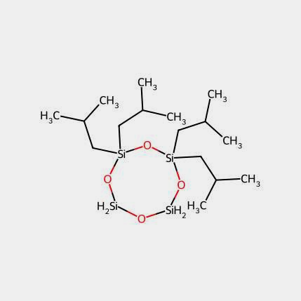 CC(C)C[Si]1(CC(C)C)O[SiH2]O[SiH2]O[Si](CC(C)C)(CC(C)C)O1